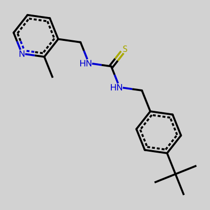 Cc1ncccc1CNC(=S)NCc1ccc(C(C)(C)C)cc1